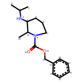 CC(C)NC1CCCN(C(=O)OCc2ccccc2)C1C